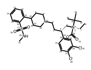 CC[N@@+](C[C@@H](CCN1CCC(c2ccccc2S(=O)(=O)NC)CC1)c1ccc(Cl)c(Cl)c1)(C(=O)[O-])C(C)(C)C